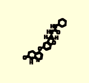 O=C1CCc2c(Oc3ccc4c(c3)[C@H]3C(NC(=O)NC5CCCCC5)[C@H]3O4)ccnc2N1